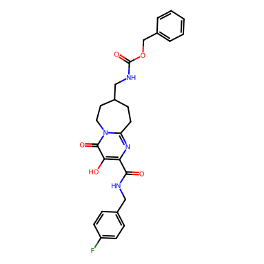 O=C(NCC1CCc2nc(C(=O)NCc3ccc(F)cc3)c(O)c(=O)n2CC1)OCc1ccccc1